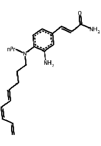 C=C/C=C\C=C\CCCN(CCC)c1ccc(/C=C/C(N)=O)cc1N